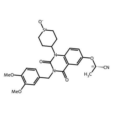 COc1ccc(Cn2c(=O)c3cc(O[C@@H](C)C#N)ccc3n(C3CC[S+]([O-])CC3)c2=O)cc1OC